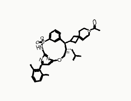 CC(=O)N1CCC2(CC1)CC(C1c3cccc(c3)S(=O)(=O)Nc3nc(cc(-c4c(C)cccc4C)n3)OC[C@H]1CC(C)C)C2